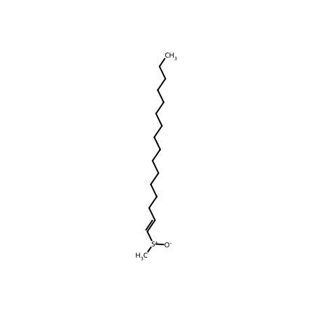 CCCCCCCCCCCCCC/C=C/[S+](C)[O-]